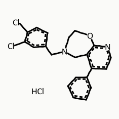 Cl.Clc1ccc(CN2CCOc3nccc(-c4ccccc4)c3C2)cc1Cl